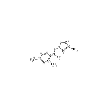 CCN(CC1COC(N)=N1)c1ccc(C(F)(F)F)cc1C